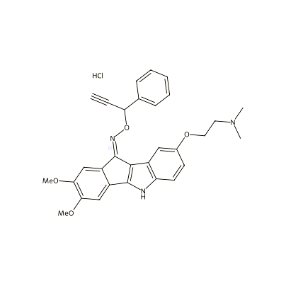 C#CC(O/N=C1/c2cc(OC)c(OC)cc2-c2[nH]c3ccc(OCCN(C)C)cc3c21)c1ccccc1.Cl